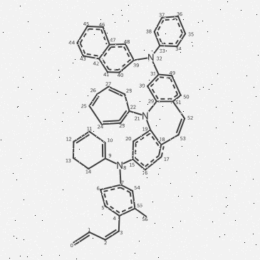 C=C/C=C\c1ccc(N(C2=CC=CCC2)c2ccc3c(c2)N(C2=C=CC=CC=C2)c2cc(N(c4ccccc4)c4ccc5ccccc5c4)ccc2C=C3)cc1C